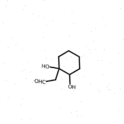 O=[C]CC1(O)CCCCC1O